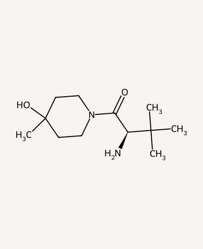 CC1(O)CCN(C(=O)[C@H](N)C(C)(C)C)CC1